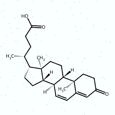 C[C@H](CCC(=O)O)[C@H]1CC[C@H]2[C@@H]3C=CC4=CC(=O)CC[C@]4(C)[C@H]3CC[C@]12C